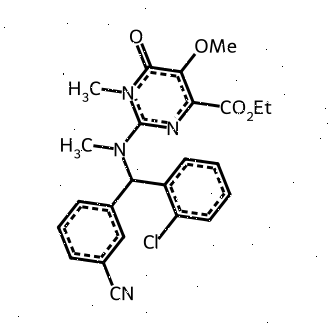 CCOC(=O)c1nc(N(C)C(c2cccc(C#N)c2)c2ccccc2Cl)n(C)c(=O)c1OC